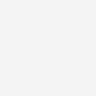 Cc1cc(C)c2sc3c(-c4cccc(-c5cc6ccccc6c6ccccc56)c4)cc(C)cc3c2c1